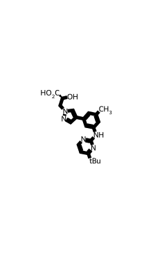 Cc1cc(Nc2nccc(C(C)(C)C)n2)cc(-c2cnn(C[C@H](O)C(=O)O)c2)c1